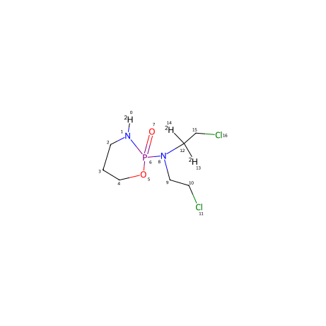 [2H]N1CCCOP1(=O)N(CCCl)C([2H])([2H])CCl